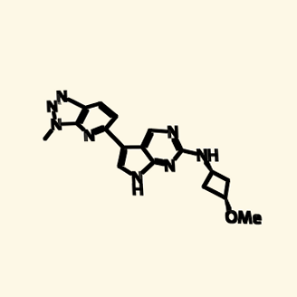 CO[C@H]1C[C@@H](Nc2ncc3c(-c4ccc5nnn(C)c5n4)c[nH]c3n2)C1